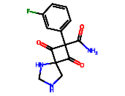 NC(=O)C1(c2cccc(F)c2)C(=O)C2(CNCN2)C1=O